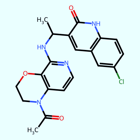 CC(=O)N1CCOc2c1ccnc2NC(C)c1cc2cc(Cl)ccc2[nH]c1=O